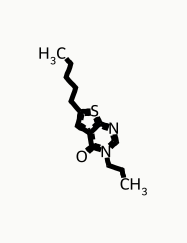 CCCCCc1cc2c(=O)n(CCC)cnc2s1